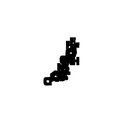 CC(=O)C1(C)CN(C(=O)Nc2ccc(C(F)(F)F)cc2)N=C1c1ccc(Cl)cc1